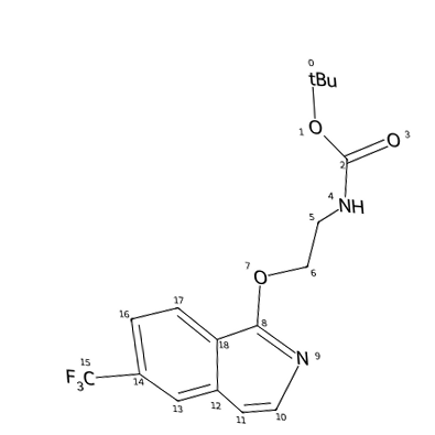 CC(C)(C)OC(=O)NCCOc1nccc2cc(C(F)(F)F)ccc12